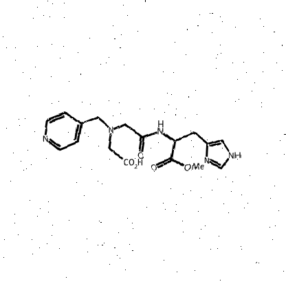 COC(=O)C(Cc1c[nH]cn1)NC(=O)CN(CC(=O)O)Cc1ccncc1